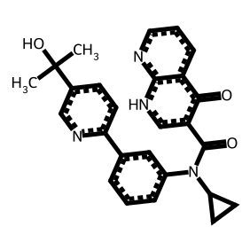 CC(C)(O)c1ccc(-c2cccc(N(C(=O)c3c[nH]c4ncccc4c3=O)C3CC3)c2)nc1